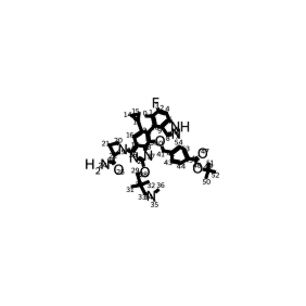 Cc1c(F)cc2[nH]ncc2c1-c1c(C2CC2)cc2c(N3CC[C@H]3C(N)=O)nc(OCC(C)(C)CN(C)C)nc2c1OCc1ccc(C(=O)OC(C)(C)C)cc1